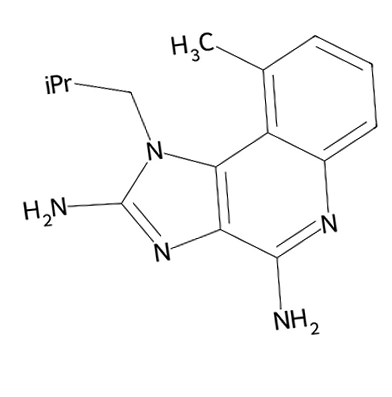 Cc1cccc2nc(N)c3nc(N)n(CC(C)C)c3c12